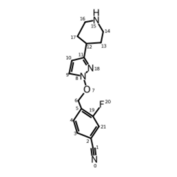 N#Cc1ccc(COn2ccc(C3CCNCC3)n2)c(F)c1